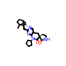 CC1C2CCC1(C)C(Cc1ncc3c(n1)N(C1CCCC1)C(=O)[C@]1(CCNC1=O)C3)C2